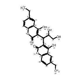 CCc1ccc2oc(=O)c(C(c3c(O)c4cc(CC)ccc4oc3=O)C(O)CO)c(O)c2c1